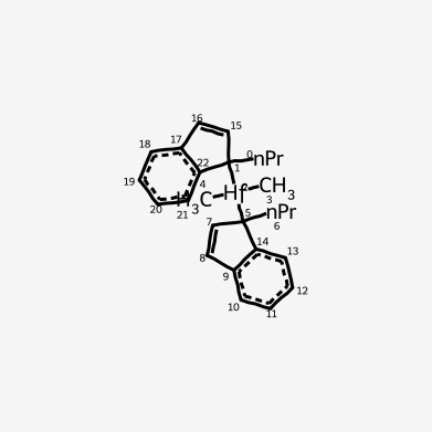 CCC[C]1([Hf]([CH3])([CH3])[C]2(CCC)C=Cc3ccccc32)C=Cc2ccccc21